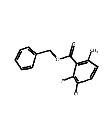 Cc1ccc(Cl)c(F)c1C(=O)OCc1ccccc1